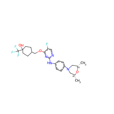 C[C@@H]1CN(c2ccc(Nc3ncc(F)c(OCC4CCC(O)(C(F)(F)F)CC4)n3)cc2)C[C@H](C)O1